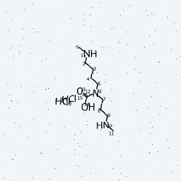 CNCCCCN(CCCNC)C(=O)O.Cl.Cl